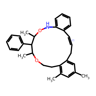 Cc1cc(C)c2c(c1)C/C=C\c1ccccc1NOC(C)C(c1ccccc1)C(C)OCC2